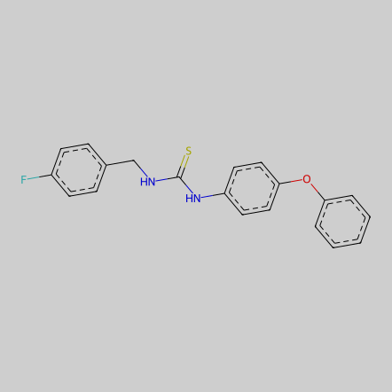 Fc1ccc(CNC(=S)Nc2ccc(Oc3ccccc3)cc2)cc1